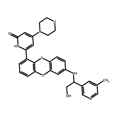 Cc1cncc(C(CO)Nc2ccc3c(c2)Sc2cccc(-c4cc(N5CCOCC5)cc(=O)[nH]4)c2S3)c1